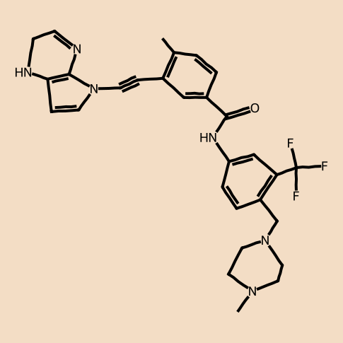 Cc1ccc(C(=O)Nc2ccc(CN3CCN(C)CC3)c(C(F)(F)F)c2)cc1C#Cn1ccc2c1N=CCN2